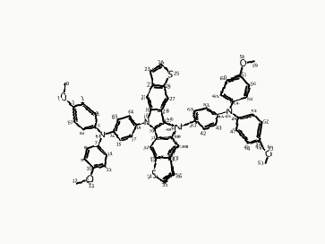 COc1ccc(N(c2ccc(OC)cc2)c2ccc(-n3c4cc5ccsc5cc4c4c3c3cc5sccc5cc3n4-c3ccc(N(c4ccc(OC)cc4)c4ccc(OC)cc4)cc3)cc2)cc1